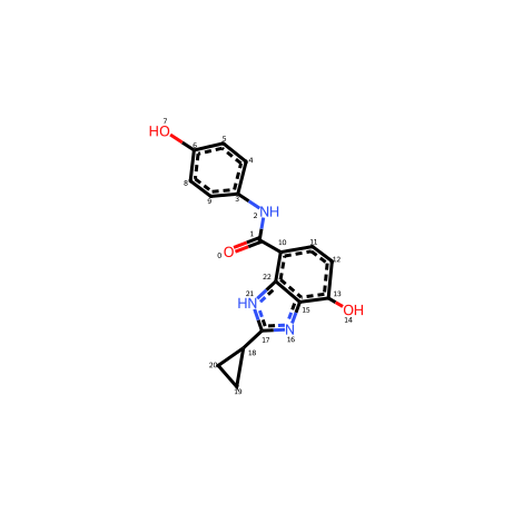 O=C(Nc1ccc(O)cc1)c1ccc(O)c2nc(C3CC3)[nH]c12